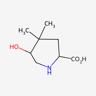 CC1(C)CC(C(=O)O)NCC1O